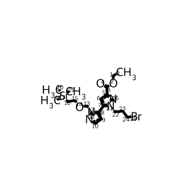 CCOC(=O)c1cc(-c2ccnn2COCC[Si](C)(C)C)n(CCCBr)n1